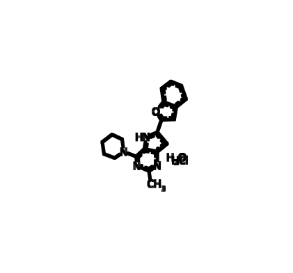 Cc1nc(N2CCCCC2)c2[nH]c(-c3cc4ccccc4o3)cc2n1.Cl.O